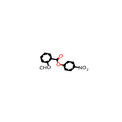 O=Cc1ccccc1C(=O)Oc1ccc([N+](=O)[O-])cc1